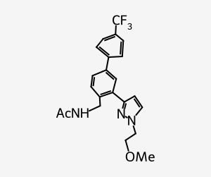 COCCn1ccc(-c2cc(-c3ccc(C(F)(F)F)cc3)ccc2CNC(C)=O)n1